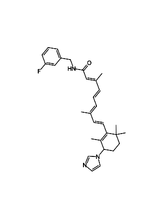 CC(C=CC1=C(C)C(n2ccnc2)CCC1(C)C)=CC=CC(C)=CC(=O)NCc1cccc(F)c1